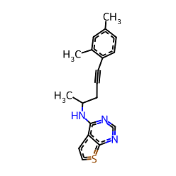 Cc1ccc(C#CCC(C)Nc2ncnc3sccc23)c(C)c1